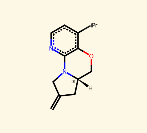 C=C1C[C@H]2COc3c(C(C)C)ccnc3N2C1